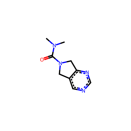 CN(C)C(=O)N1Cc2cncnc2C1